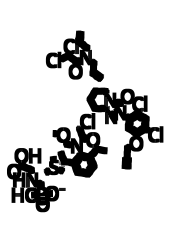 C#CCOc1cc(-n2nc3n(c2=O)CCCC3)c(Cl)cc1Cl.C=CCN(CC=C)C(=O)C(Cl)Cl.CCc1cccc(CC)c1N(COC)C(=O)CCl.C[S+](C)C.O=C(O)CNCP(=O)([O-])O